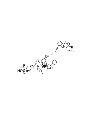 CC(C)(C)[C@H](NC(=O)c1cc2cc(C(F)(F)P(=O)(O)O)ccc2s1)C(=O)N1C[C@H](OCCCCCC#Cc2cccc3c2CN(C2CCC(=O)NC2=O)C3=O)C[C@H]1C(=O)N1CCO[C@H](c2ccccc2)C1